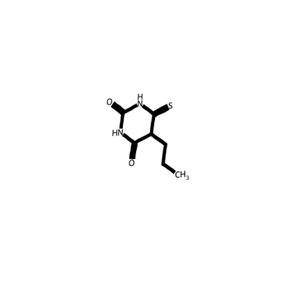 CCCC1C(=O)NC(=O)NC1=S